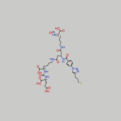 O=CN[C@@H](CCCCNC(=O)CC(CC(=O)NCCCC[C@@H](NC(=O)N[C@@H](CCC(=O)O)C(=O)O)C(=O)O)NC(=O)c1ccc(-n2cc(CCCF)nn2)cc1)C(=O)O